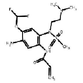 C=CC(=O)Nc1cc(N)c(OC(F)F)cc1N(CCN(C)C)S(C)(=O)=O